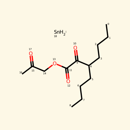 CCCCC(CCCC)C(=O)C(=O)OCC(C)=O.[SnH2]